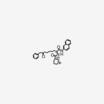 CN1CCCC(C(=O)N[C@@H](CCCCCC(=O)Cc2ccccc2)C(=O)Nc2ccc3ccccc3c2)C1